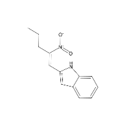 CCCC(=Cc1cc2ccccc2[nH]1)[N+](=O)[O-]